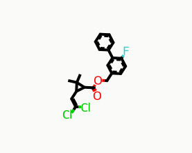 CC1(C)C(C=C(Cl)Cl)C1C(=O)OCc1ccc(F)c(-c2ccccc2)c1